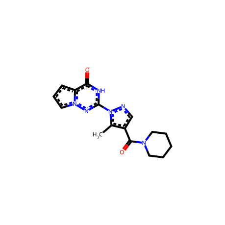 Cc1c(C(=O)N2CCCCC2)cnn1-c1nn2cccc2c(=O)[nH]1